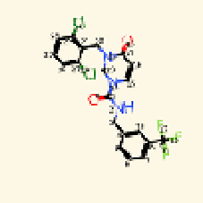 O=C(NCc1cccc(C(F)(F)F)c1)N1C=CC(=O)N(Cc2c(Cl)cccc2Cl)C1